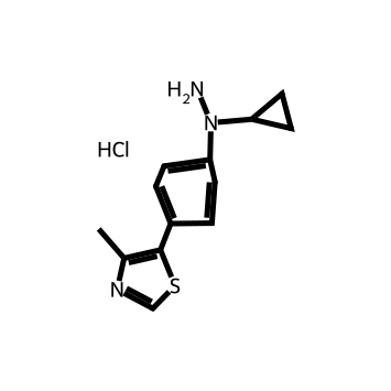 Cc1ncsc1-c1ccc(N(N)C2CC2)cc1.Cl